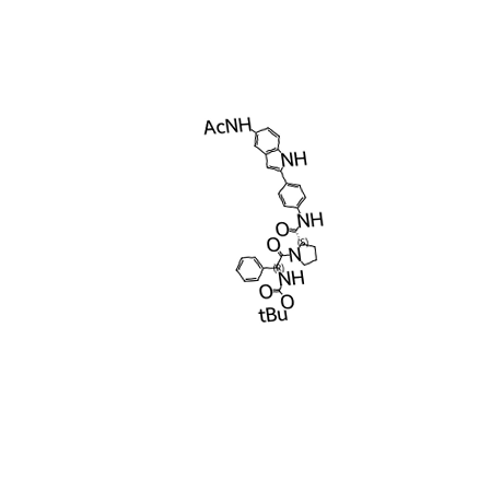 CC(=O)Nc1ccc2[nH]c(-c3ccc(NC(=O)[C@@H]4CCCN4C(=O)[C@H](NC(=O)OC(C)(C)C)c4ccccc4)cc3)cc2c1